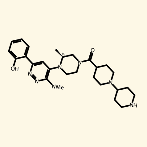 CNc1nnc(-c2ccccc2O)cc1N1CCN(C(=O)C2CCN(C3CCNCC3)CC2)C[C@@H]1C